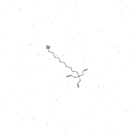 C=CCC(CC=C)(CC=C)CCCCCCCCCCBr